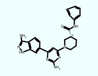 Nc1nc(-c2ccc3c(N)n[nH]c3c2)cc(N2CCC[C@@H](C(=O)Nc3ccccc3)C2)n1